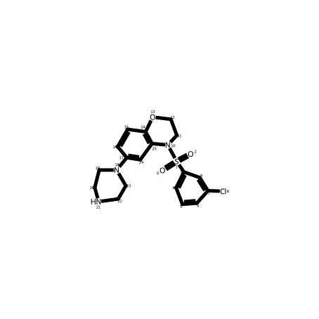 O=S(=O)(c1cccc(Cl)c1)N1CCOc2ccc(N3CCNCC3)cc21